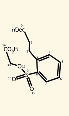 CCCCCCCCCCCCc1ccccc1S(=O)(=O)OCC(=O)O